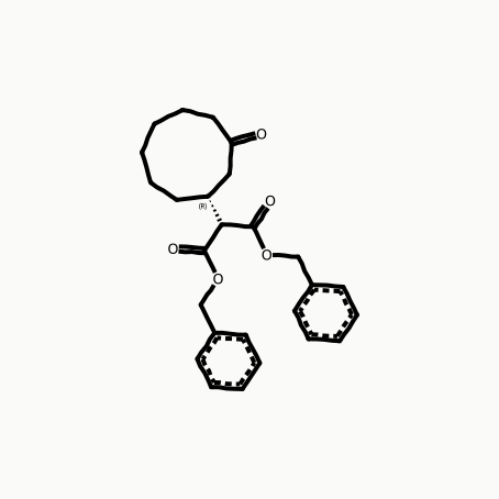 O=C1CCCCCC[C@@H](C(C(=O)OCc2ccccc2)C(=O)OCc2ccccc2)C1